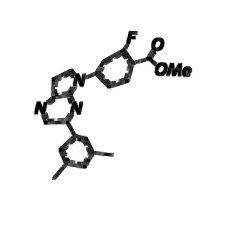 COC(=O)c1ccc(-n2ccc3ncc(-c4cc(C)cc(C)c4)nc32)cc1F